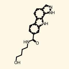 O=C(NCCCCO)c1ccc2c(c1)[nH]c1c2ccc2cn[nH]c21